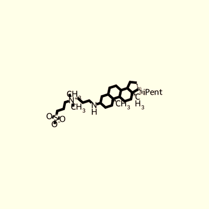 CCC[C@@H](C)[C@H]1CCC2C3CCC4CC(NCCC[N+](C)(C)CCCS(=O)(=O)[O-])CC[C@]4(C)C3CC[C@@]21C